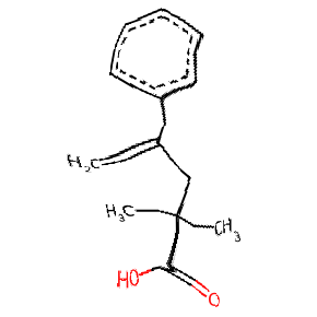 C=C(CC(C)(C)C(=O)O)c1ccccc1